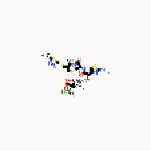 CC(C)(C)C(=O)O.CO/N=C(\C(=O)N[C@@H]1C(=O)N2C(C(=O)O)=C(CSc3nnc(C)s3)CS[C@H]12)c1csc(N)n1.Cl